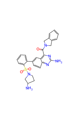 Nc1nc(C(=O)N2Cc3ccccc3C2)c2cc(-c3ccccc3S(=O)(=O)N3CCC(N)C3)ccc2n1